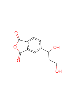 O=C1OC(=O)c2cc(C(O)CCO)ccc21